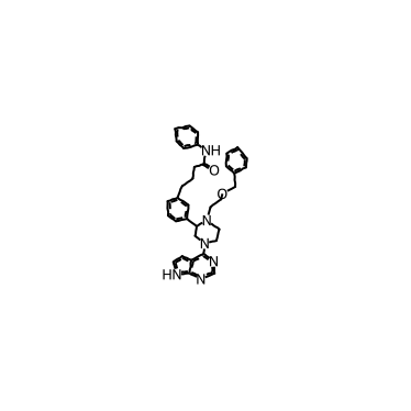 O=C(CCCc1cccc(C2CN(c3ncnc4[nH]ccc34)CCN2CCOCc2ccccc2)c1)Nc1ccccc1